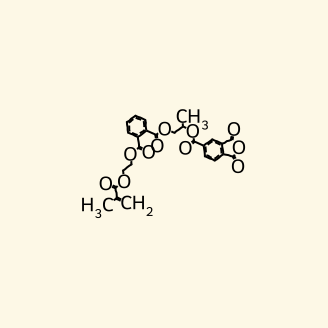 C=C(C)C(=O)OCCOC(=O)c1ccccc1C(=O)OCC(C)OC(=O)c1ccc2c(c1)C(=O)OC2=O